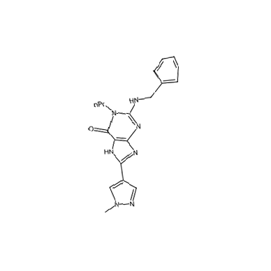 CCCn1c(NCc2ccccc2)nc2nc(-c3cnn(C)c3)[nH]c2c1=O